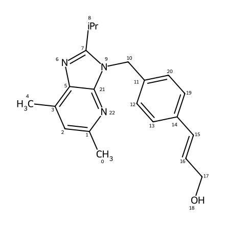 Cc1cc(C)c2nc(C(C)C)n(Cc3ccc(C=CCO)cc3)c2n1